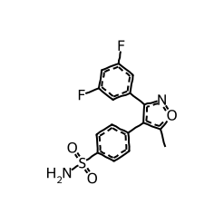 Cc1onc(-c2cc(F)cc(F)c2)c1-c1ccc(S(N)(=O)=O)cc1